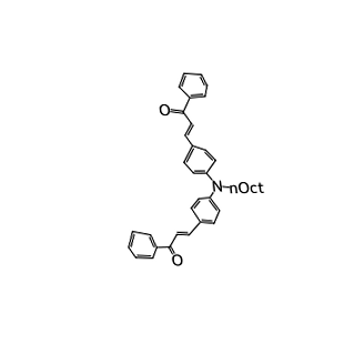 CCCCCCCCN(c1ccc(C=CC(=O)c2ccccc2)cc1)c1ccc(C=CC(=O)c2ccccc2)cc1